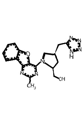 Cc1nc(N2C[C@@H](Cc3nnn[nH]3)C[C@H]2CO)c2oc3ccccc3c2n1